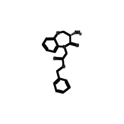 N[C@H]1COc2ccccc2N(CC(=O)OCc2ccccc2)C1=O